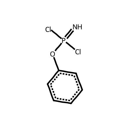 N=P(Cl)(Cl)Oc1ccccc1